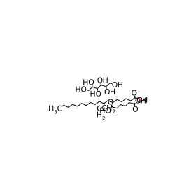 C=C.CCCCCCCCCCCCCCCCCC(=O)O.O=C(O)CCCCC(=O)O.OCC(O)C(O)C(O)C(O)CO